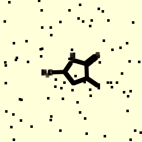 CC1CC(I)C(=S)N1